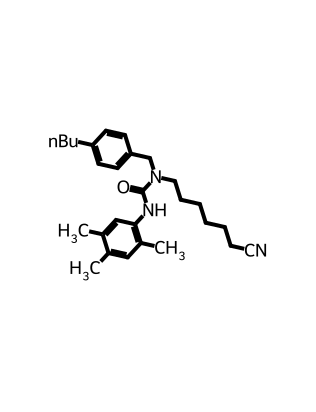 CCCCc1ccc(CN(CCCCCCC#N)C(=O)Nc2cc(C)c(C)cc2C)cc1